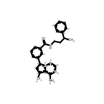 CC(CCNC(=O)c1cccc(-c2cc(C(F)(F)F)c3c(N)ncnn23)c1)c1ccccc1